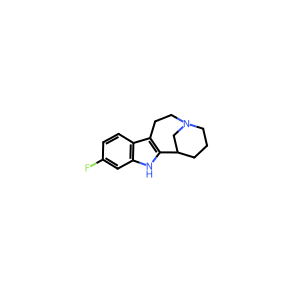 Fc1ccc2c3c([nH]c2c1)C1CCCN(CC3)C1